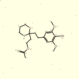 COc1cc(CCC2(CCOC(C)=O)SCCCS2)cc(OC)c1O